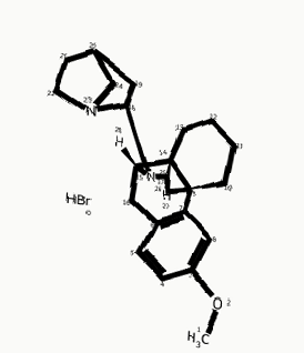 Br.COc1ccc2c(c1)[C@@]13CCCC[C@H]1[C@@H](C2)N(C1CC2CCN1C2)CC3